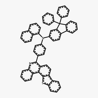 c1ccc(C2(c3ccccc3)c3ccccc3-c3ccc(N(c4ccc(-c5nc6ccccc6c6c5ccc5c7ccccc7sc56)cc4)c4cccc5ccccc45)cc32)cc1